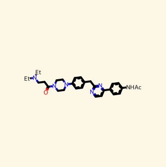 CCN(CC)CCC(=O)N1CCN(c2ccc(Cc3nccc(-c4ccc(NC(C)=O)cc4)n3)cc2)CC1